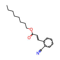 CCCCCCCCOC(=O)C=Cc1ccccc1C#N